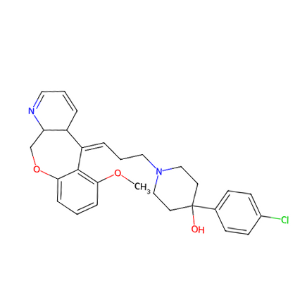 COc1cccc2c1C(=CCCN1CCC(O)(c3ccc(Cl)cc3)CC1)C1C=CC=NC1CO2